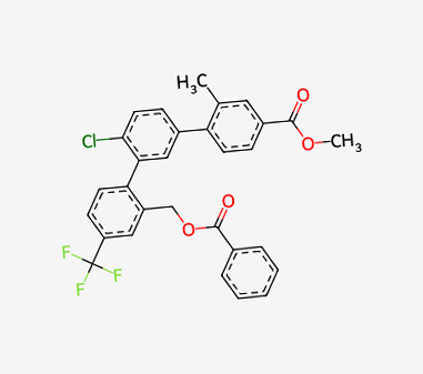 COC(=O)c1ccc(-c2ccc(Cl)c(-c3ccc(C(F)(F)F)cc3COC(=O)c3ccccc3)c2)c(C)c1